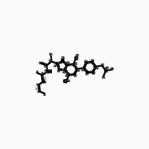 C=C(N/C(C)=N/C=C\C)C(C)n1cc2c(Cl)cc(-c3ccc(CN(C)C)cc3)c(Cl)c2n1